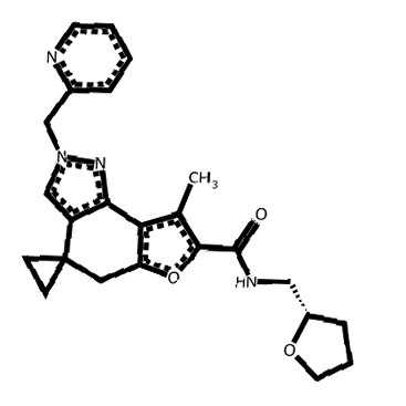 Cc1c(C(=O)NC[C@@H]2CCCO2)oc2c1-c1nn(Cc3ccccn3)cc1C1(CC1)C2